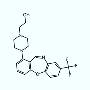 OCCN1CCN(c2cccc3c2C=Nc2cc(C(F)(F)F)ccc2O3)CC1